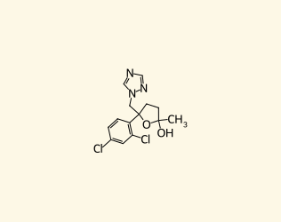 CC1(O)CCC(Cn2cncn2)(c2ccc(Cl)cc2Cl)O1